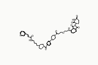 O=C(/C=C/c1cccnc1)NCCCCC1CCN(C(=O)c2ccc(N3CCN(C(=O)CCOCCNc4cccc5c4C(=O)N(C4CCC(=O)NC4=O)C5=O)CC3)cc2)CC1